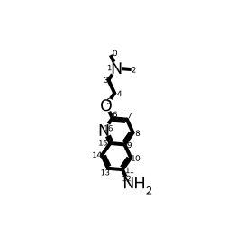 CN(C)CCOc1ccc2cc(N)ccc2n1